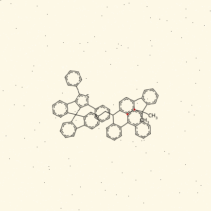 CC1(C)c2ccccc2-c2ccc(C(Cc3ccc4c(c3)C3(c5ccccc5-4)c4ccccc4-c4c(-c5ccccc5)sc(-c5ccccc5)c43)c3ccccc3-c3cccc4ccccc34)cc21